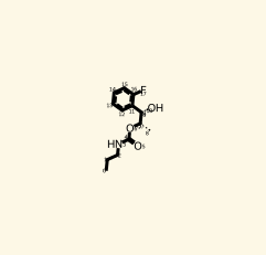 CCCNC(=O)O[C@@H](C)[C@@H](O)c1ccccc1F